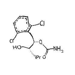 CC(C)[C@H](O)[C@@H](OC(N)=O)c1c(Cl)cccc1Cl